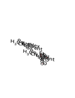 CCCCCCC(CC)C1(C(CC)CCCCC)c2cc(-c3ccc4c(c3)C(C)(C)c3ccccc3-4)ccc2-c2ccc(-c3ccc4c(c3)C(C)(C)c3cc(-c5ccc6c(c5)C(CC(CC)CCCC)(C(CC)CCCCC)c5c-6cc6c7cc8c(cc7n7c9cc%10c(cc9c5c67)C5CCC(CC5)C%10=O)C(=O)C5CCC8CC5)ccc3-4)cc21